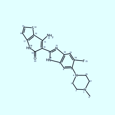 CN1CCN(c2cc3[nH]c(-c4c(N)c5sccc5[nH]c4=O)nc3cc2F)CC1